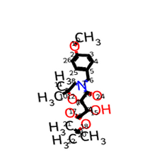 COc1ccc(CN2CC(C)(C)O[C@H]([C@@H](O)C(=O)OC(C)(C)C)C2=O)cc1